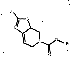 CC(C)(C)OC(=O)N1CC=C2N=C(Br)SC2C1